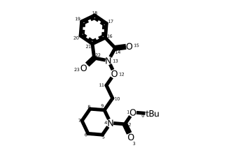 CC(C)(C)OC(=O)N1CCCCC1CCON1C(=O)c2ccccc2C1=O